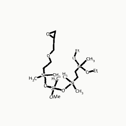 CCO[Si](C)(CC[Si](C)(C)O[Si](C)(OC)O[Si](C)(C)CCOCC1CO1)OCC